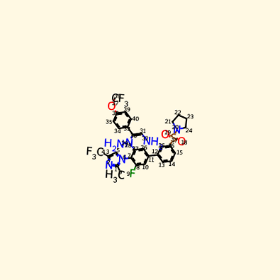 Cc1nc(C(F)(F)F)cn1-c1c(F)cc(-c2cccc(S(=O)(=O)N3CCCC3)c2)cc1N(N)/C(=C\N)c1ccc(OC(F)(F)F)cc1